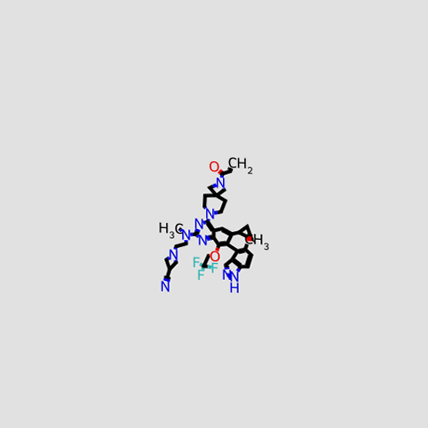 C=CC(=O)N1CC2(CCN(c3nc(N(C)CCN4CC(C#N)C4)nc4c(OCC(F)(F)F)c(-c5c(C)ccc6[nH]ncc56)c(C5CC5)cc34)CC2)C1